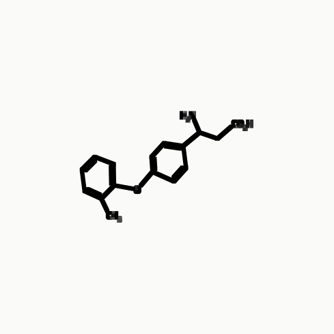 Cc1ccccc1Oc1ccc(C(N)CC(=O)O)cc1